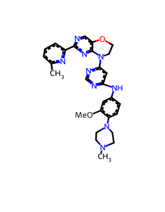 COc1cc(Nc2cc(N3CCOc4cnc(-c5cccc(C)n5)nc43)ncn2)ccc1N1CCN(C)CC1